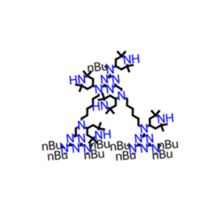 CCCCN(CCCC)c1nc(CN(CCCCCCN(c2nc(CN(CCCCCCN(c3nc(N(CCCC)CCCC)nc(N(CCCC)CCCC)n3)C3CC(C)(C)NC(C)(C)C3)C3CC(C)(C)NC(C)(C)C3)nc(N(CCCC)C3CC(C)(C)NC(C)(C)C3)n2)C2CC(C)(C)NC(C)(C)C2)C2CC(C)(C)NC(C)(C)C2)nc(N(CCCC)CCCC)n1